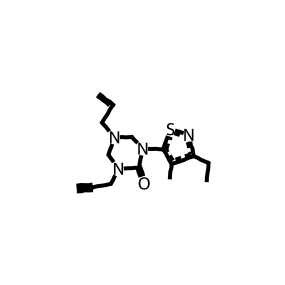 C#CCN1CN(CC=C)CN(c2snc(CC)c2C)C1=O